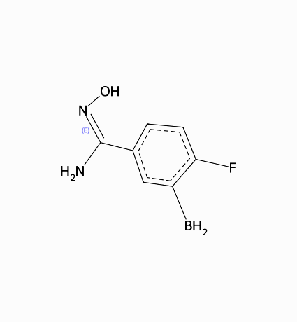 Bc1cc(/C(N)=N\O)ccc1F